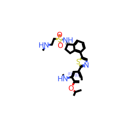 C=C(OC(C)C)/C(=C\C(=C/C)c1ncc(-c2cccc3c2CC[C@@H]3NS(=O)(=O)CCNC)s1)NC